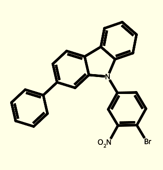 O=[N+]([O-])c1cc(-n2c3ccccc3c3ccc(-c4ccccc4)cc32)ccc1Br